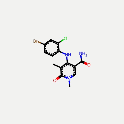 Cc1c(Nc2ccc(Br)cc2Cl)c(C(N)=O)cn(C)c1=O